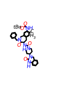 Cc1cc2c(cc1NC(=O)OC(C)(C)C)CN(Cc1ccccc1)C(=O)C(NC(=O)N1CCC(N3Cc4ccccc4NC3=O)CC1)C2